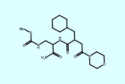 CC(C)(C)OC(=O)NCC(NC(=O)C(CC(=O)N1CCOCC1)CC1CCCCC1)C(N)=O